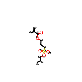 C=C(C)C(=O)OCCCS(=O)(=O)OCCC